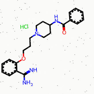 Cl.N=C(N)c1ccccc1OCCCN1CCC(NC(=O)c2ccccc2)CC1